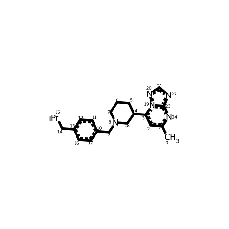 Cc1cc(C2CCCN(Cc3ccc(CC(C)C)cc3)C2)n2ncnc2n1